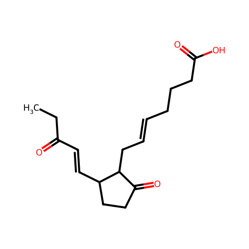 CCC(=O)/C=C/C1CCC(=O)C1C/C=C/CCCC(=O)O